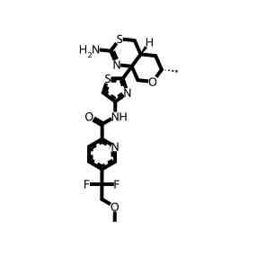 COCC(F)(F)c1ccc(C(=O)Nc2csc(C34CO[C@@H](C)C[C@H]3CSC(N)=N4)n2)nc1